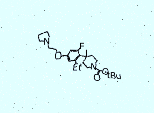 CCc1cc(OCCN2CCCC2)cc(F)c1C1(C)CCN(C(=O)OC(C)(C)C)CC1